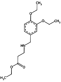 CCOC(=O)CCNCc1ccc(OCC)c(OCC)c1